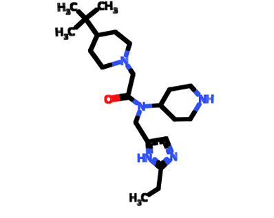 CCc1ncc(CN(C(=O)CN2CCC(C(C)(C)C)CC2)C2CCNCC2)[nH]1